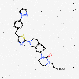 COCCN1CCCN(c2ccc3c(c2)CN(c2ncc(Cc4ccc(-n5cccn5)cc4)s2)CC3)C1=O